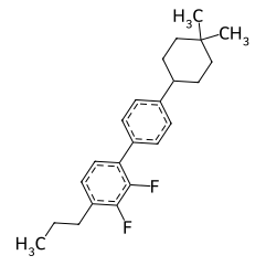 CCCc1ccc(-c2ccc(C3CCC(C)(C)CC3)cc2)c(F)c1F